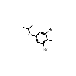 Cc1c(Br)cc(OC(C)C)cc1Br